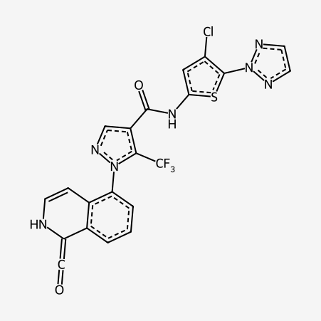 O=C=C1NC=Cc2c1cccc2-n1ncc(C(=O)Nc2cc(Cl)c(-n3nccn3)s2)c1C(F)(F)F